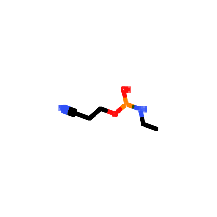 CCNP(O)OCCC#N